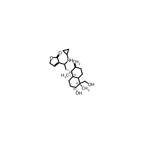 C=C1CCC2[C@](C)(CO)[C@H](O)CC[C@@]2(C)[C@@H]1CC(NC1CC1)C1=CCOC1=O